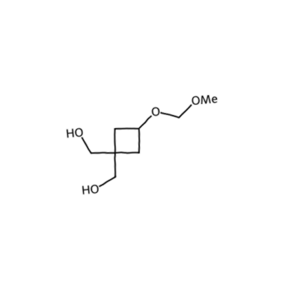 COCOC1CC(CO)(CO)C1